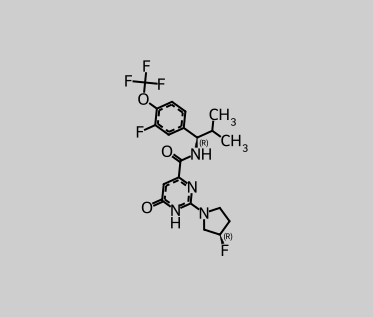 CC(C)[C@@H](NC(=O)c1cc(=O)[nH]c(N2CC[C@@H](F)C2)n1)c1ccc(OC(F)(F)F)c(F)c1